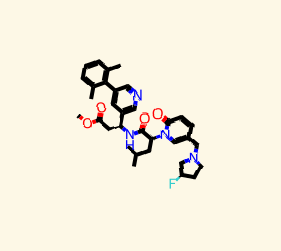 COC(=O)C[C@H](NC(=O)C(CC(C)C)n1cc(CN2CC[C@@H](F)C2)ccc1=O)c1cncc(-c2c(C)cccc2C)c1